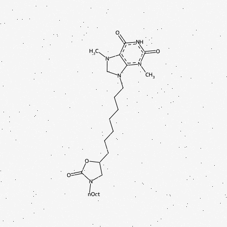 CCCCCCCCN1CC(CCCCCCCN2CN(C)c3c2n(C)c(=O)[nH]c3=O)OC1=O